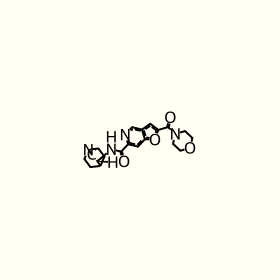 O=C(N[C@H]1CN2CCC1CC2)c1cc2oc(C(=O)N3CCOCC3)cc2cn1